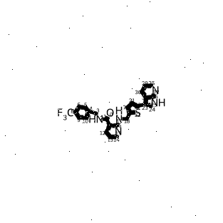 O=C(NCc1ccc(C(F)(F)F)cc1)c1cccnc1NCc1ccc(-c2c[nH]c3ncccc23)s1